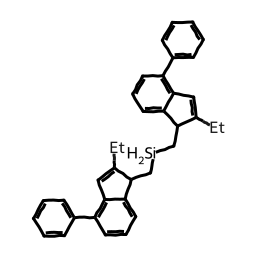 CCC1=Cc2c(-c3ccccc3)cccc2C1C[SiH2]CC1C(CC)=Cc2c(-c3ccccc3)cccc21